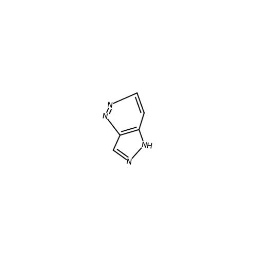 c1cc2[nH]ncc2nn1